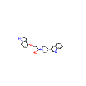 OC(CCOc1cccc2[nH]ccc12)N1CCC(c2cnc3ccccc3c2)CC1